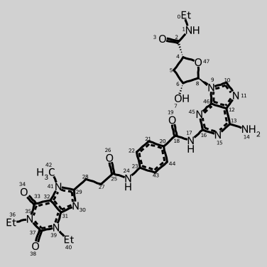 CCNC(=O)[C@H]1C[C@@H](O)[C@H](n2cnc3c(N)nc(NC(=O)c4ccc(NC(=O)CCc5nc6c(c(=O)n(CC)c(=O)n6CC)n5C)cc4)nc32)O1